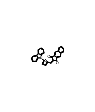 O=C1C(=Cc2ccc(-n3c4ccccc4c4ccccc43)s2)C(=O)c2cc3ccccc3cc21